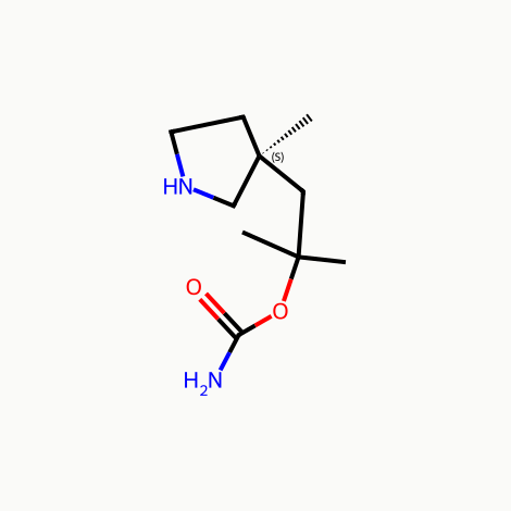 CC(C)(C[C@]1(C)CCNC1)OC(N)=O